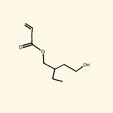 C=CC(=O)OCC(CC)CCO